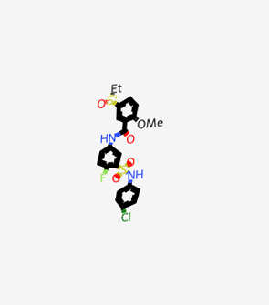 CC[S+]([O-])c1ccc(OC)c(C(=O)Nc2ccc(F)c(S(=O)(=O)Nc3ccc(Cl)cc3)c2)c1